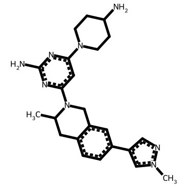 CC1Cc2ccc(-c3cnn(C)c3)cc2CN1c1cc(N2CCC(N)CC2)nc(N)n1